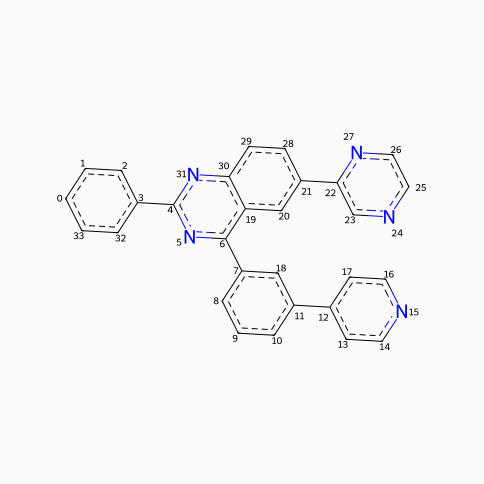 c1ccc(-c2nc(-c3cccc(-c4ccncc4)c3)c3cc(-c4cnccn4)ccc3n2)cc1